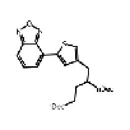 CCCCCCCCCCCCC(CCCCCCCCCC)Cc1csc(-c2cccc3nonc23)c1